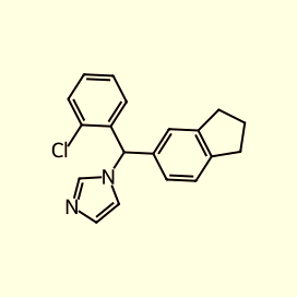 Clc1ccccc1C(c1ccc2c(c1)CCC2)n1ccnc1